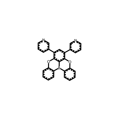 c1cncc(-c2cc(-c3cccnc3)c3c4c2Oc2ccccc2B4c2ccccc2O3)c1